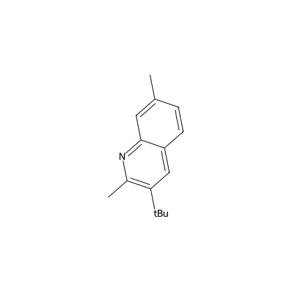 Cc1ccc2cc(C(C)(C)C)c(C)nc2c1